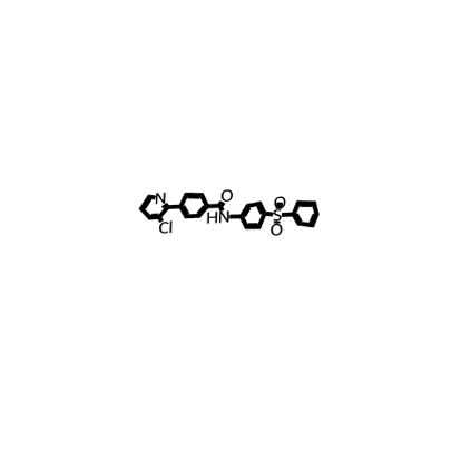 O=C(Nc1ccc(S(=O)(=O)c2ccccc2)cc1)c1ccc(-c2ncccc2Cl)cc1